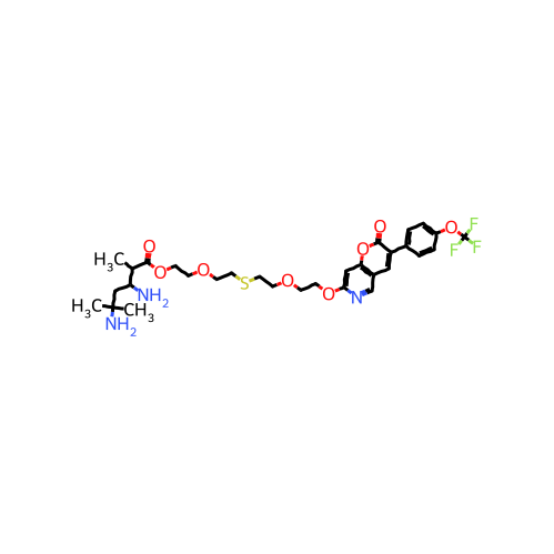 CC(C(=O)OCCOCCSCCOCCOc1cc2oc(=O)c(-c3ccc(OC(F)(F)F)cc3)cc2cn1)C(N)CC(C)(C)N